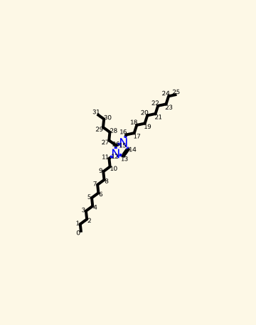 CCCCCCCCCCCCN1C=CN(CCCCCCCCCC)C1CCCCC